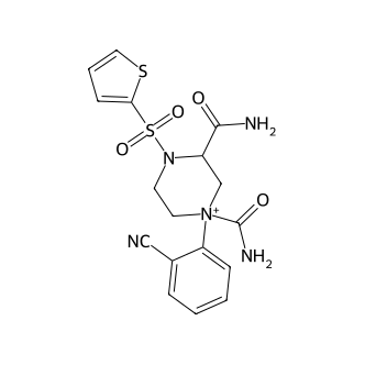 N#Cc1ccccc1[N+]1(C(N)=O)CCN(S(=O)(=O)c2cccs2)C(C(N)=O)C1